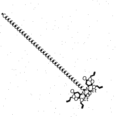 C=C=C=C=C=C=C=C=C=C=C=C=C=C=C=C=C=C=C=C=C=C=C=C=C=C=C=C=C=C=C=C=C=C=C=C(N(C(=O)CC)C(CC(=O)OCC=C)C(=O)OCC=C)N(C(=O)CC)C(CC(=O)OCC=C)C(=O)OCC=C